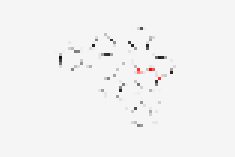 c1ccc(N(c2cc3ccccc3c3ccccc23)c2cccc3c2sc2ccccc23)c(-c2cccc3oc4ccccc4c23)c1